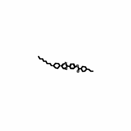 CCCCCCCC[C@H]1CC[C@H](c2cnc(-c3ccc(OC(=O)C4CCC(CCC)CC4)cc3)nc2)CC1